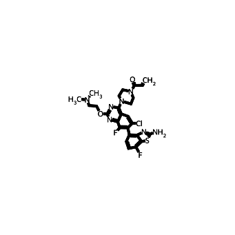 C=CC(=O)N1CCN(c2nc(OCCN(C)C)nc3c(F)c(-c4ccc(F)c5sc(N)nc45)c(Cl)cc23)CC1